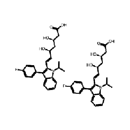 CC(C)n1c(/C=C/[C@@H](O)C[C@@H](O)CC(=O)O)c(-c2ccc(F)cc2)c2ccccc21.CC(C)n1c(/C=C/[C@@H](O)C[C@@H](O)CC(=O)O)c(-c2ccc(F)cc2)c2ccccc21